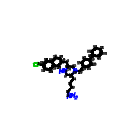 NCCCC[C@H]1CN[C@@H](Cc2ccc3cc(Cl)ccc3c2)CN1Cc1ccc(-c2ccccc2)cc1